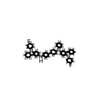 FC1=CC[C@H](n2c3ccccc3c3cc(N(C4=CCC(c5ccc(Nc6ccc7c(c6)C6C=CC=CC6N7C6=CCC(F)C=C6)cc5)C=C4)c4ccccc4)ccc32)C=C1